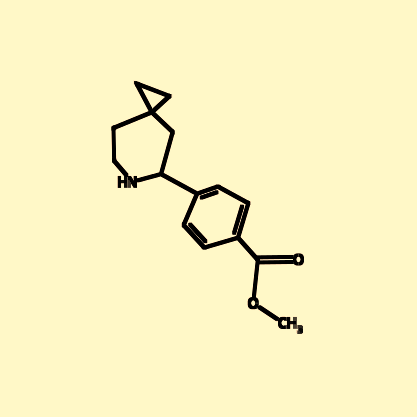 COC(=O)c1ccc(C2CC3(CCN2)CC3)cc1